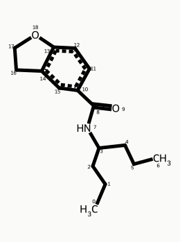 CCCC(CCC)NC(=O)c1ccc2c(c1)CCO2